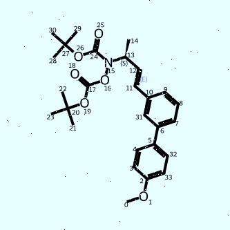 COc1ccc(-c2cccc(/C=C/[C@H](C)N(OC(=O)OC(C)(C)C)C(=O)OC(C)(C)C)c2)cc1